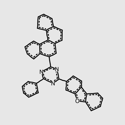 c1ccc(-c2nc(-c3ccc4c(c3)oc3ccccc34)nc(-c3cc4ccc5ccccc5c4c4ccccc34)n2)cc1